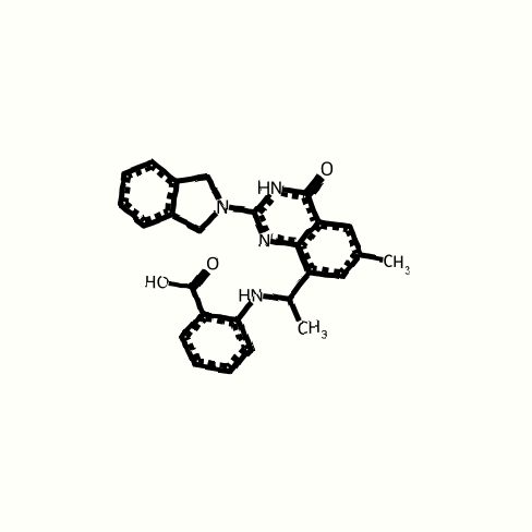 Cc1cc(C(C)Nc2ccccc2C(=O)O)c2nc(N3Cc4ccccc4C3)[nH]c(=O)c2c1